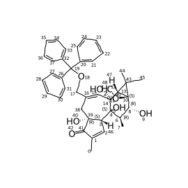 CC1=C[C@H]2[C@@]3(O)[C@H](C)[C@@H](O)[C@]4(OC(=O)O)[C@H]([C@@H]3C=C(COC(c3ccccc3)(c3ccccc3)c3ccccc3)C[C@]2(O)C1=O)C4(C)C